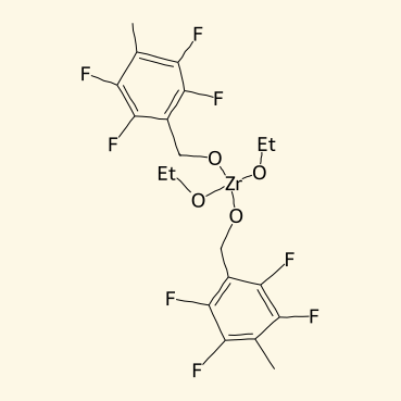 CC[O][Zr]([O]CC)([O]Cc1c(F)c(F)c(C)c(F)c1F)[O]Cc1c(F)c(F)c(C)c(F)c1F